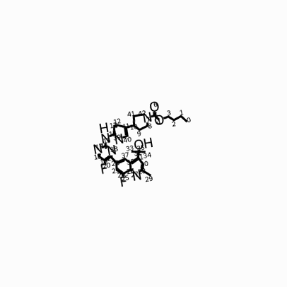 CCCCOC(=O)N1CCC(c2ccc(Nc3ncc(F)c(-c4cc(F)c5nc(C)cc(C(C)(C)O)c5c4)n3)nc2)CC1